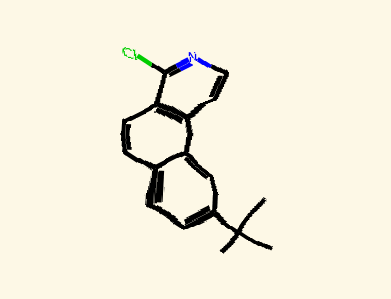 CC(C)(C)c1ccc2ccc3c(Cl)nccc3c2c1